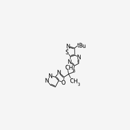 CC(C)(C)c1nsc2nc(CC(C)(C)c3nc4nnccc4o3)cnc12